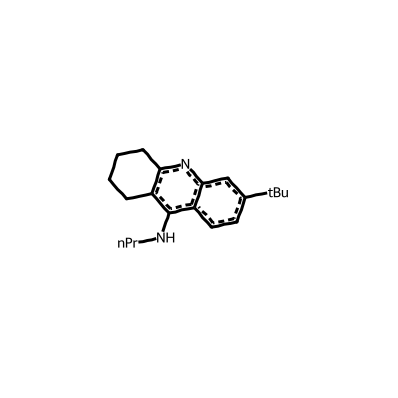 CCCNc1c2c(nc3cc(C(C)(C)C)ccc13)CCCC2